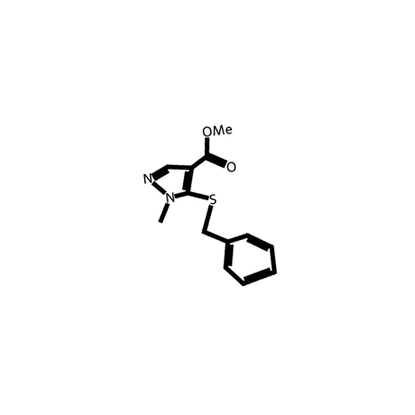 COC(=O)c1cnn(C)c1SCc1ccccc1